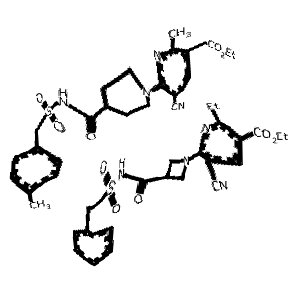 CCOC(=O)c1cc(C#N)c(N2CC(C(=O)NS(=O)(=O)Cc3ccccc3)C2)nc1CC.CCOC(=O)c1cc(C#N)c(N2CCC(C(=O)NS(=O)(=O)Cc3ccc(C)cc3)CC2)nc1C